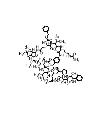 CC[C@H](C)[C@@H]([C@@H](CC(=O)N1CCC[C@H]1[C@H](OC)[C@@H](C)C(=O)N[C@H](C)[C@@H](O)c1ccccc1)OC)N(C)C(=O)[C@@H](NC(=O)[C@H](C(C)C)N(C)C(=O)OCc1ccc(NC(=O)[C@H](CCCNC(N)=O)NC(=O)[C@@H](NC(=O)[C@H](CCC(=O)NC2O[C@H](C(=O)OC)[C@H]3OC(C)(C)O[C@@H]23)NC(=O)OCc2ccccc2)C(C)C)cc1)C(C)C